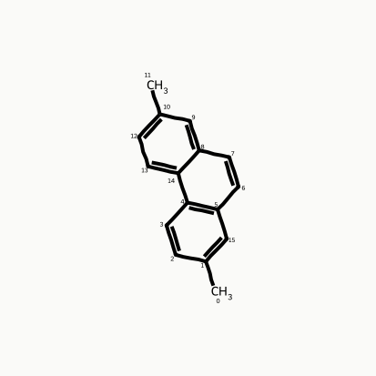 Cc1ccc2c(ccc3cc(C)ccc32)c1